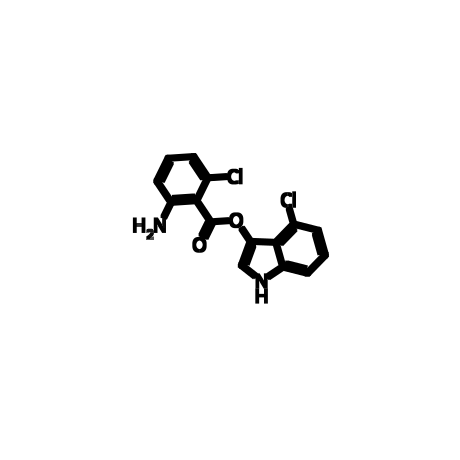 Nc1cccc(Cl)c1C(=O)Oc1c[nH]c2cccc(Cl)c12